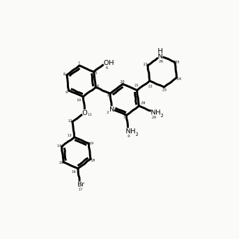 Nc1nc(-c2c(O)cccc2OCc2ccc(Br)cc2)cc(C2CCCNC2)c1N